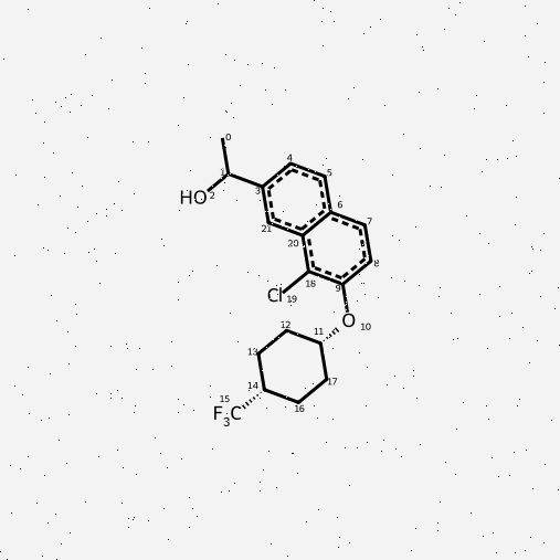 CC(O)c1ccc2ccc(O[C@H]3CC[C@@H](C(F)(F)F)CC3)c(Cl)c2c1